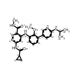 CNC(=O)c1nnc(NC(=O)C2CC2)cc1Nc1cccc(-c2ccc(SC(C)C)nc2)c1OC